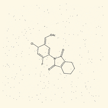 CC(=O)OC=C1C=C(N2C(=O)C3=C(CCCC3)C2=O)C(F)=CC1Cl